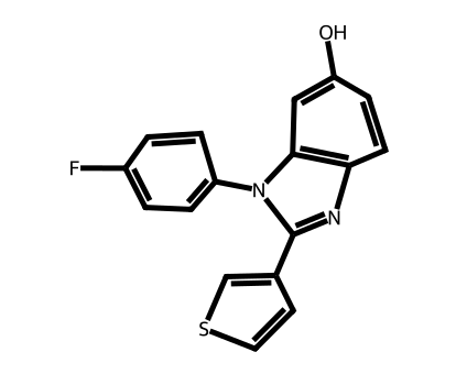 Oc1ccc2nc(-c3ccsc3)n(-c3ccc(F)cc3)c2c1